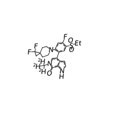 [2H]C([2H])([2H])n1cc(-c2cc(S(=O)(=O)CC)c(F)cc2N2CCC3(CC2)CC3(F)F)c2cc[nH]c2c1=O